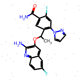 CC(Oc1cc2cc(F)ccc2nc1N)c1cc(C(N)=O)c(F)cc1-n1cccn1